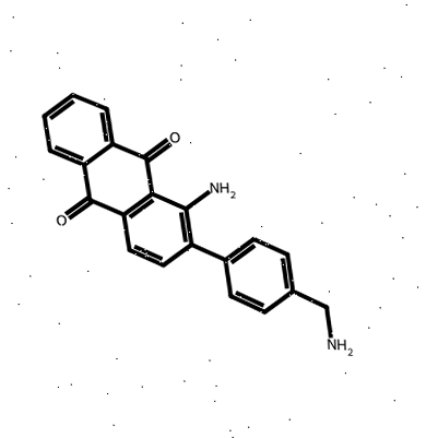 NCc1ccc(-c2ccc3c(c2N)C(=O)c2ccccc2C3=O)cc1